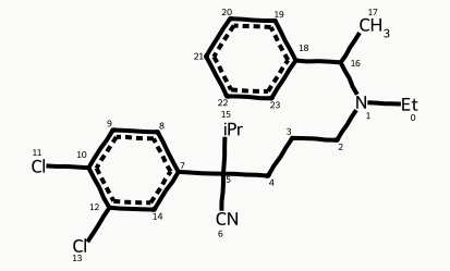 CCN(CCCC(C#N)(c1ccc(Cl)c(Cl)c1)C(C)C)C(C)c1ccccc1